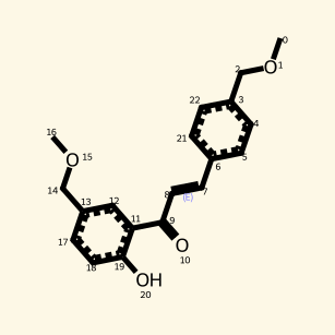 COCc1ccc(/C=C/C(=O)c2cc(COC)ccc2O)cc1